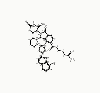 NC(=O)CCCCC(=O)c1ccc2c(c1-n1cc(-c3cnc4cccc(Br)c4n3)cn1)C(N1CCCCC1)N(C1CCC(=O)NC1=O)C2=O